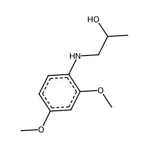 COc1ccc(NCC(C)O)c(OC)c1